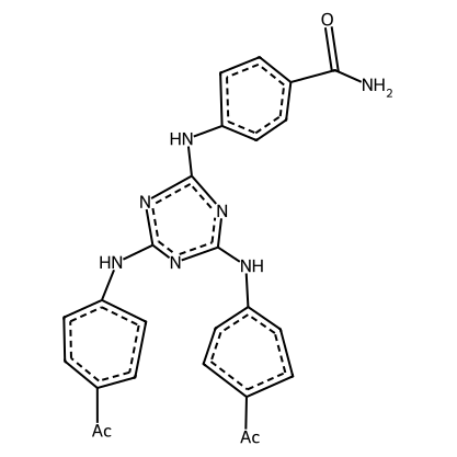 CC(=O)c1ccc(Nc2nc(Nc3ccc(C(C)=O)cc3)nc(Nc3ccc(C(N)=O)cc3)n2)cc1